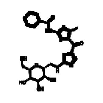 Cc1nc(NC(=O)c2ccccc2)sc1C(=O)c1cnc(NC[C@H]2O[C@H](CO)[C@@H](O)[C@H](O)[C@@H]2O)s1